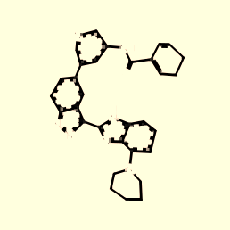 O=C(Nc1cncc(-c2ccc3[nH]nc(-c4nc5c(N6CCCCC6)cccc5[nH]4)c3c2)c1)C1=CCCC=C1